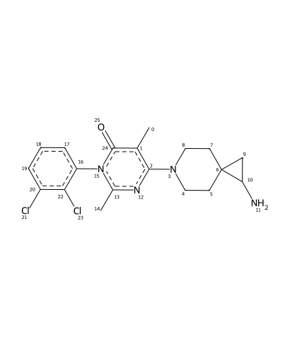 Cc1c(N2CCC3(CC2)CC3N)nc(C)n(-c2cccc(Cl)c2Cl)c1=O